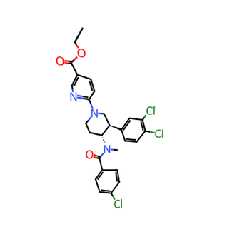 CCOC(=O)c1ccc(N2CC[C@@H](N(C)C(=O)c3ccc(Cl)cc3)[C@H](c3ccc(Cl)c(Cl)c3)C2)nc1